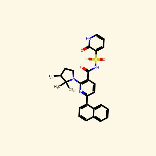 CC1CCN(c2nc(-c3cccc4ccccc34)ccc2C(=O)NS(=O)(=O)c2ccc[nH]c2=O)C1(C)C